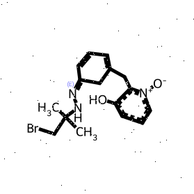 CC(C)(CBr)N/N=C1/C=CC=C(Cc2c(O)ccc[n+]2[O-])C1